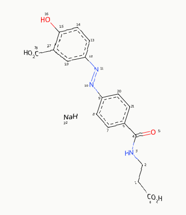 O=C(O)CCNC(=O)c1ccc(/N=N/c2ccc(O)c(C(=O)O)c2)cc1.[NaH]